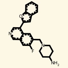 NC1CCN(Cc2cc3c(-c4cc5ccccc5o4)cncc3cc2F)CC1